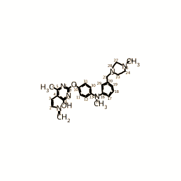 C=N/C=C\c1c(C)nc(Oc2ccc(N(C)c3cccc(CN4CCN(C)CC4)c3)cc2)nc1O